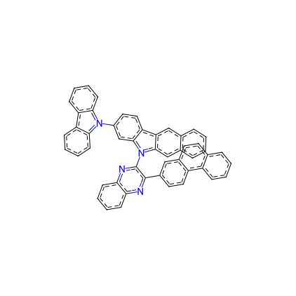 c1ccc2cc3c(cc2c1)c1ccc(-n2c4ccccc4c4ccccc42)cc1n3-c1nc2ccccc2nc1-c1ccc2c(ccc3ccccc32)c1